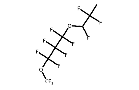 CC(F)(F)C(F)OC(F)(F)C(F)(F)C(F)(F)OC(F)(F)F